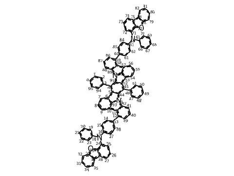 c1ccc(-c2c3c4cccc5c6c(-c7ccc(N(c8ccccc8)c8cccc9c8oc8ccccc89)cc7)cccc6n(c3c(-c3ccccc3)c3c6cccc7c8c(-c9ccc(N(c%10ccccc%10)c%10cccc%11c%10oc%10ccccc%10%11)cc9)cccc8n(c23)c76)c54)cc1